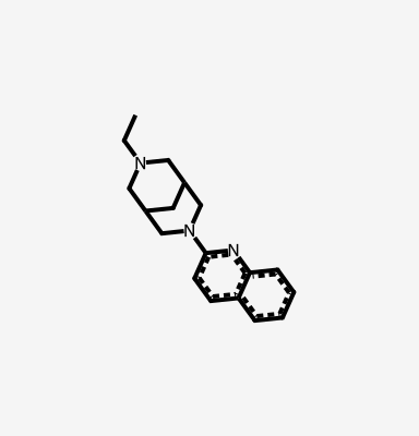 CCN1CC2CC(C1)CN(c1ccc3ccccc3n1)C2